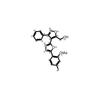 COc1cc(F)ccc1-c1nnc(-c2c(-c3ccccc3)noc2CO)o1